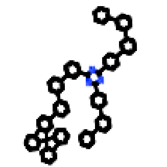 c1ccc(-c2cccc(-c3ccc(-c4nc(-c5ccc(-c6cccc(-c7cccc(-c8ccccc8)c7)c6)cc5)nc(-c5cccc(-c6cccc(-c7cccc(-c8ccc9c(c8)C8(c%10ccccc%10-c%10ccccc%108)c8ccccc8-9)c7)c6)c5)n4)cc3)c2)cc1